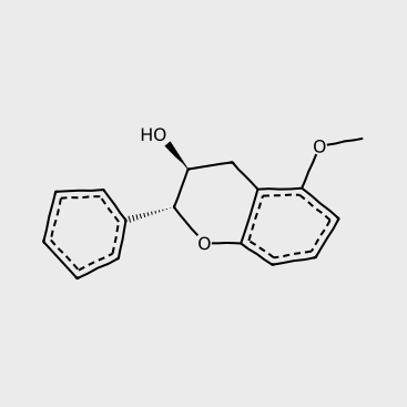 COc1cccc2c1C[C@H](O)[C@@H](c1ccccc1)O2